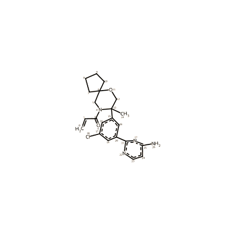 C=CC(=O)N1CC2(CCCC2)OCC1(C)c1cc(Cl)cc(-c2nccc(N)n2)c1